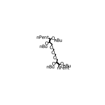 CCCCCC(OCCCC)=C(COCOCOCC(OCCCC)=C(CCCCC)OCCCC)OCCCC